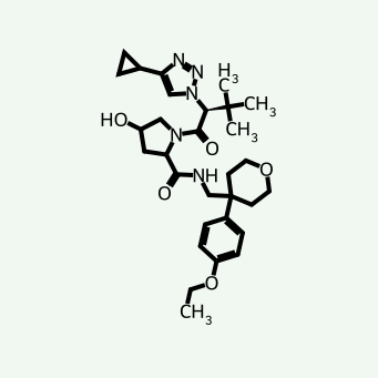 CCOc1ccc(C2(CNC(=O)C3CC(O)CN3C(=O)[C@@H](n3cc(C4CC4)nn3)C(C)(C)C)CCOCC2)cc1